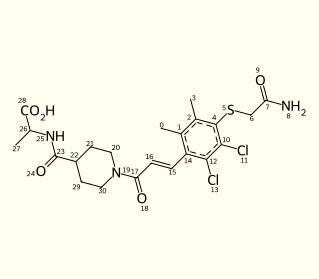 Cc1c(C)c(SCC(N)=O)c(Cl)c(Cl)c1C=CC(=O)N1CCC(C(=O)NC(C)C(=O)O)CC1